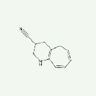 N#CC1CNC2=C(CC=CC=C2)C1